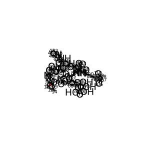 COCCN(CCOC12CC3(C)CC(C)(CC(Cn4ncc(-c5ccc(N6CCc7c(OC)ccc(C(=O)Nc8nc9ccccc9s8)c7C6)nc5C(=O)O)c4C)(C3)C1)C2)C(=O)OCc1ccc(O[C@@H]2O[C@H](C(=O)O)[C@@H](O)[C@H](O)[C@H]2O)cc1OCCCNC(=O)C(CS(=O)(=O)O)NC(=O)CCCCCN1C(=O)C=CC1=O